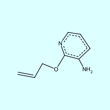 C=CCOc1ncccc1N